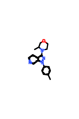 Cc1ccc(-n2nc(N3CCOCC3C)c3ccncc32)cc1